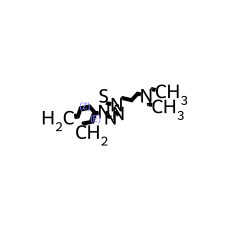 C=C/C=C\C(=C/C=C)n1nnn(CCCN(CC)CC)c1=S